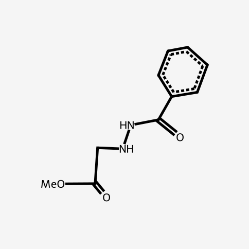 COC(=O)CNNC(=O)c1ccccc1